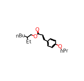 CCCCC(CC)COC(=O)C=Cc1ccc(OCCC)cc1